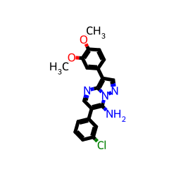 COc1ccc(-c2cnn3c(N)c(-c4cccc(Cl)c4)cnc23)cc1OC